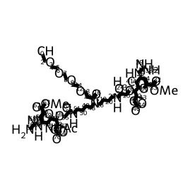 C#CCOCCOCCOCCOCCC(=O)N(CCCCNC(=O)CO[C@@H]([C@@H]1OC(C(=O)OC)=C[C@H](NC(=N)N)[C@H]1C)[C@H]1COC(=O)O1)CCCCNC(=O)CO[C@@H]([C@@H]1OC(C(=O)OC)=C[C@H](NC(=N)N)[C@H]1NC(C)=O)[C@H]1COC(=O)O1